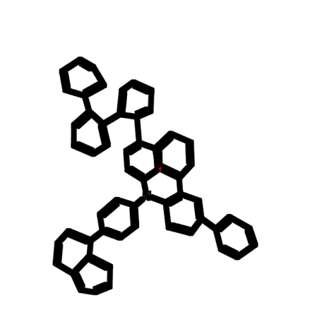 c1ccc(-c2ccc(N(c3ccc(-c4ccccc4-c4ccccc4-c4ccccc4)cc3)c3ccc(-c4cccc5ccccc45)cc3)c(-c3ccccc3)c2)cc1